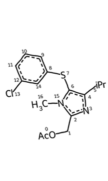 CC(=O)OCc1nc(C(C)C)c(Sc2cccc(Cl)c2)n1C